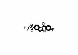 CS(=O)(=O)c1ccc2c(c1)Cc1nc3cc(F)ccc3c(=O)n1-2